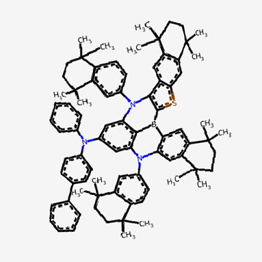 CC1(C)CCC(C)(C)c2cc(N3c4cc5c(cc4B4c6sc7cc8c(cc7c6N(c6ccc7c(c6)C(C)(C)CCC7(C)C)c6cc(N(c7ccccc7)c7ccc(-c9ccccc9)cc7)cc3c64)C(C)(C)CCC8(C)C)C(C)(C)CCC5(C)C)ccc21